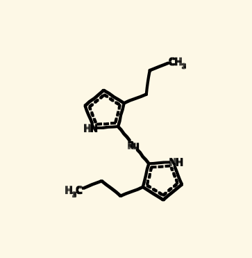 CCCc1cc[nH][c]1[Ru][c]1[nH]ccc1CCC